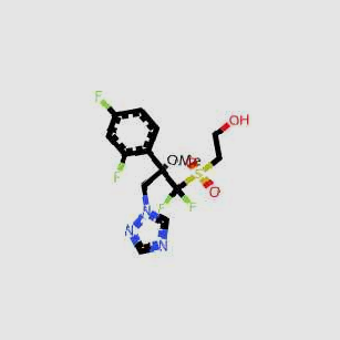 COC(Cn1cncn1)(c1ccc(F)cc1F)C(F)(F)S(=O)(=O)CCO